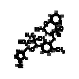 CC[C@@H]1CN(Cc2cc([C@@H](OCc3cn(CC)nn3)C(C)(C)C(=O)O)ccc2C)S(=O)(=O)c2ncccc2O1